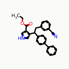 CCOC(=O)c1c[nH]cc1C(Cc1cccc(C#N)c1)c1ccc(-c2ccccc2)cc1